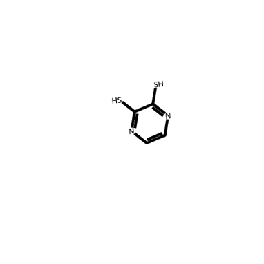 Sc1nccnc1S